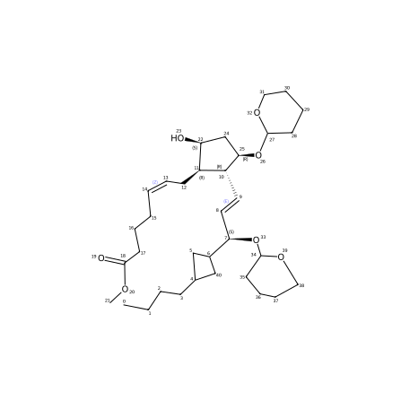 CCCCC1CC([C@@H](/C=C/[C@@H]2[C@@H](C/C=C\CCCC(=O)OC)[C@@H](O)C[C@H]2OC2CCCCO2)OC2CCCCO2)C1